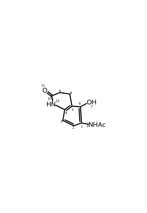 CC(=O)Nc1ccc2c(c1O)CCC(=O)N2